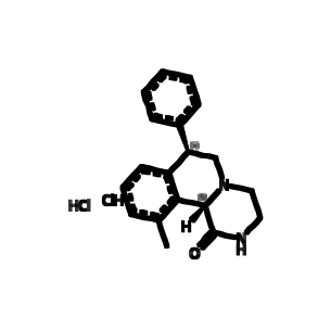 Cc1cccc2c1[C@H]1C(=O)NCCN1C[C@@H]2c1ccccc1.Cl.Cl